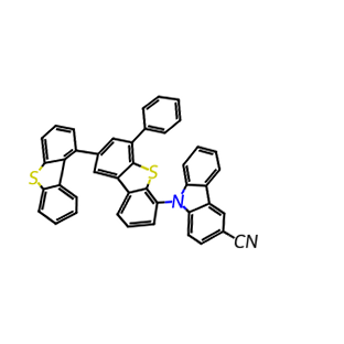 N#Cc1ccc2c(c1)c1ccccc1n2-c1cccc2c1sc1c(-c3ccccc3)cc(-c3cccc4sc5ccccc5c34)cc12